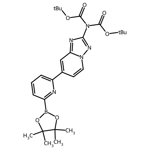 CC(C)(C)OC(=O)N(C(=O)OC(C)(C)C)c1nc2cc(-c3cccc(B4OC(C)(C)C(C)(C)O4)n3)ccn2n1